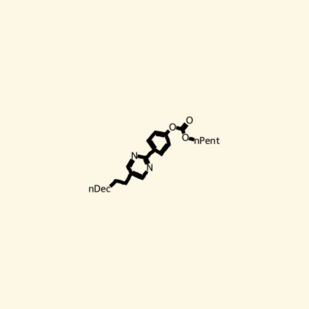 CCCCCCCCCCCCc1cnc(-c2ccc(OC(=O)OCCCCC)cc2)nc1